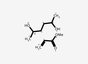 C=CC(=O)OC.CC(O)CCC(C)O